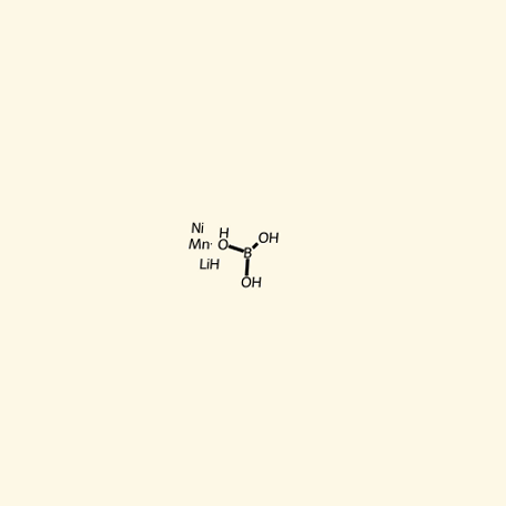 OB(O)O.[LiH].[Mn].[Ni]